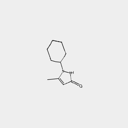 Cc1cc(=O)[nH]n1C1CCCCC1